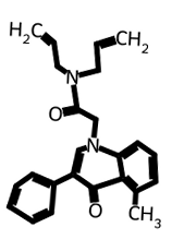 C=CCN(CC=C)C(=O)Cn1cc(-c2ccccc2)c(=O)c2c(C)cccc21